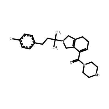 CC(C)(CCc1ccc(Cl)cc1)N1CC2=C(C1)C(C(=O)N1CCNCC1)=CCC2